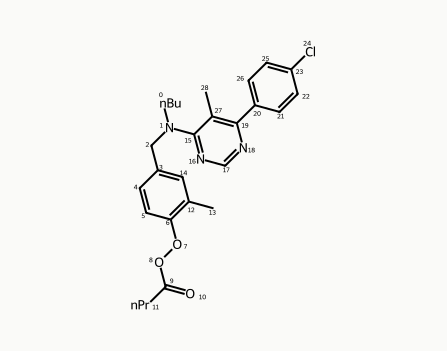 CCCCN(Cc1ccc(OOC(=O)CCC)c(C)c1)c1ncnc(-c2ccc(Cl)cc2)c1C